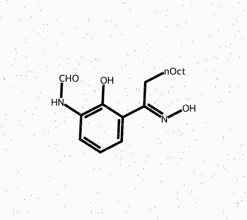 CCCCCCCCC/C(=N\O)c1cccc(NC=O)c1O